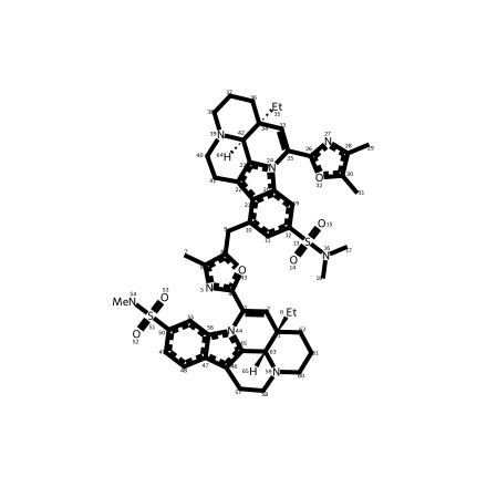 CC[C@@]12C=C(c3nc(C)c(Cc4cc(S(=O)(=O)N(C)C)cc5c4c4c6n5C(c5nc(C)c(C)o5)=C[C@]5(CC)CCCN(CC4)[C@H]65)o3)n3c4c(c5ccc(S(=O)(=O)NC)cc53)CCN(CCC1)[C@H]42